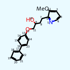 COc1cccnc1CCC(O)COc1ccc(-c2ccccc2)cc1